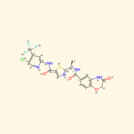 C[C@@H](NC(=O)c1ccc2c(c1)NC(=O)CO2)c1ncc(C(=O)Nc2cc(C(F)(F)F)c(Cl)cn2)s1